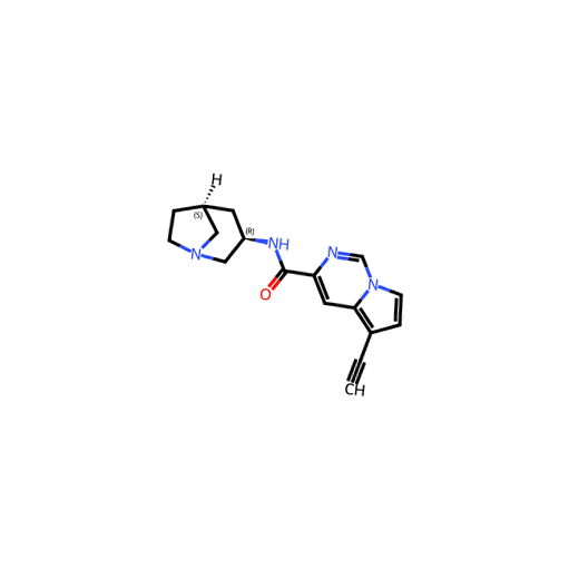 C#Cc1ccn2cnc(C(=O)N[C@@H]3C[C@@H]4CCN(C4)C3)cc12